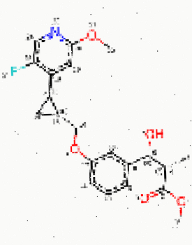 COC(=O)[C@@H](C)[C@@H](O)c1cccc(OC[C@@H]2C[C@H]2c2cc(OC)ncc2F)c1